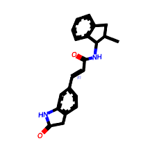 CC1Cc2ccccc2C1NC(=O)/C=C/c1ccc2c(c1)NC(=O)C2